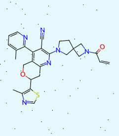 C=CC(=O)N1CC2(CCN(c3nc4c(c(-c5ncccc5C)c3C#N)COC(c3scnc3C)C4)C2)C1